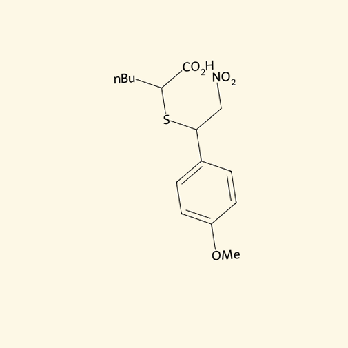 CCCCC(SC(C[N+](=O)[O-])c1ccc(OC)cc1)C(=O)O